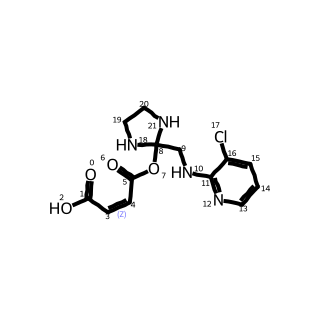 O=C(O)/C=C\C(=O)OC1(CNc2ncccc2Cl)NCCN1